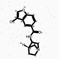 O=C(NC1CN2CC[C@H]1C2)c1ccc2occ(Cl)c2c1